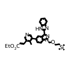 CCOC(=O)/C=C/c1cncc(-c2ccc3c(c2)c(-c2nc4ccccc4[nH]2)nn3COCC[Si](C)(C)C)c1C